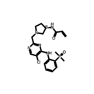 C=CC(=O)N[C@@H]1CCN(Cc2ncc(Cl)c(Nc3ccccc3P(C)(C)=O)n2)C1